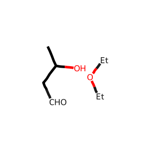 CC(O)CC=O.CCOCC